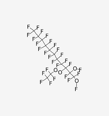 FOC(F)(F)C(F)(OF)C(F)(OOC(F)(F)C(F)(F)F)C(F)(F)C(F)(F)C(F)(F)C(F)(F)C(F)(F)C(F)(F)C(F)(F)C(F)(F)F